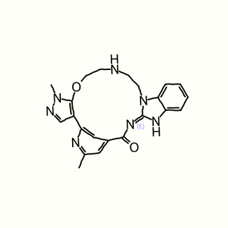 Cc1cc2cc(n1)-c1cnn(C)c1OCCNCCN1/C(=N/C2=O)Nc2ccccc21